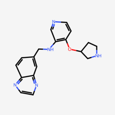 c1cc(OC2CCNC2)c(NCc2ccc3nccnc3c2)cn1